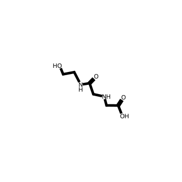 O=C(O)CNCC(=O)NCCO